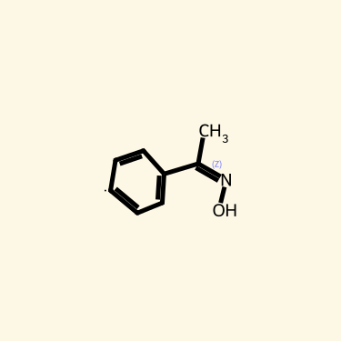 C/C(=N/O)c1cc[c]cc1